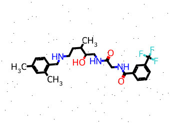 Cc1ccc(CNCCC(C)C(O)CNC(=O)CNC(=O)c2cccc(C(F)(F)F)c2)c(C)c1